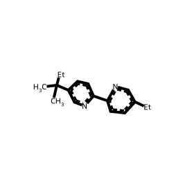 CCc1ccc(-c2ccc(C(C)(C)CC)cn2)nc1